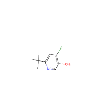 CC(C)(C)c1cc(F)c(O)cn1